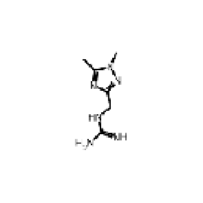 Cc1nc(CNC(=N)N)nn1C